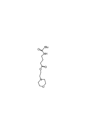 CC(C)(C)C(=O)NCCCC(=O)OCCN1CCOCC1